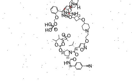 CC(OC(=O)O[C@@H]1C[C@@H](C(=O)N[C@@H](C)c2ccc(C#N)cc2)N(C(=O)[C@@H](c2cc(OCCN3CCC(OC4CC(Oc5cc(N6C7CC[C@@H]6CN(c6cc(-c8ccccc8OCOP(=O)(O)O)nnc6N)C7)ccn5)C4)CC3)no2)C(C)C)C1)C(C)SS(C)(=O)=O